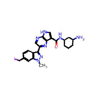 Cn1nc(-c2cnc3[nH]cc(C(=O)NC4CCCC(N)C4)c3n2)c2ccc(CI)cc21